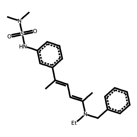 CCN(Cc1ccccc1)/C(C)=C/C=C(\C)c1cccc(NS(=O)(=O)N(C)C)c1